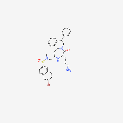 CN(C[C@@H]1CCN(CC(c2ccccc2)c2ccccc2)C(=O)[C@H](CCCN)N1)[S+]([O-])c1ccc2cc(Br)ccc2c1